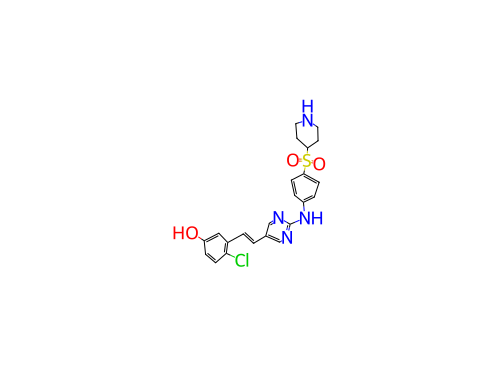 O=S(=O)(c1ccc(Nc2ncc(C=Cc3cc(O)ccc3Cl)cn2)cc1)C1CCNCC1